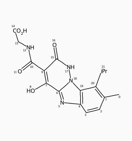 Cc1ccc2nc3c(O)c(C(=O)NCC(=O)O)c(=O)[nH]n3c2c1C(C)C